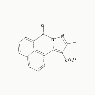 Cc1nn2c(=O)c3cccc4cccc(c43)c2c1C(=O)O